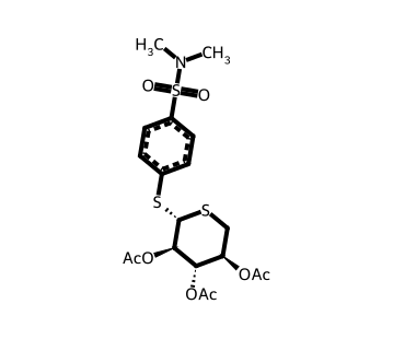 CC(=O)O[C@@H]1[C@@H](OC(C)=O)[C@H](Sc2ccc(S(=O)(=O)N(C)C)cc2)SC[C@H]1OC(C)=O